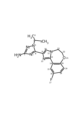 CC(C)n1nc(N)nc1-c1cn2c(n1)-c1cc(F)ccc1OCC2